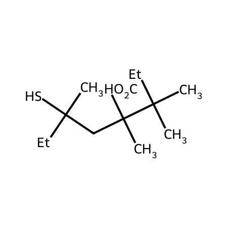 CCC(C)(S)CC(C)(C(=O)O)C(C)(C)CC